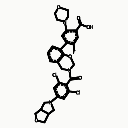 O=C(O)c1cc(F)c(-c2cccc3c2OCN(C(=O)c2c(Cl)cc(N4CC5COCC5C4)cc2Cl)C3)cc1N1CCOCC1